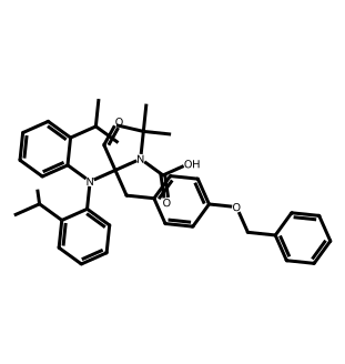 CC(C)c1ccccc1N(c1ccccc1C(C)C)C(C=O)(Cc1ccc(OCc2ccccc2)cc1)N(C(=O)O)C(C)(C)C